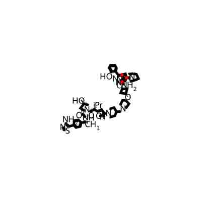 CC(C)[C@@H](C(=O)N1C[C@H](O)C[C@H]1C(=O)N[C@@H](C)c1ccc(-c2scnc2N)cc1)c1cc(N2CCC(CN3CCC(O[C@H]4C[C@H](Oc5cc(N6C7CCC6CN(c6cc(-c8ccccc8O)nnc6N)C7)ccn5)C4)CC3)CC2)no1